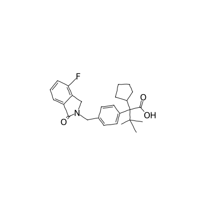 CC(C)(C)C(C(=O)O)(c1ccc(CN2Cc3c(F)cccc3C2=O)cc1)C1CCCC1